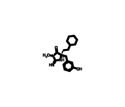 CN1C(=N)N[C@](CCC2CCCCC2)(Cc2cccc(O)c2)C1=O